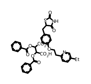 CCc1ccc(CCOc2ccc(CC3SC(=O)NC3=O)cc2)nc1.O=C(OC(C(=O)O)C(OC(=O)c1ccccc1)C(=O)O)c1ccccc1